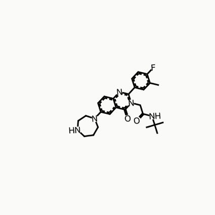 Cc1cc(-c2nc3ccc(N4CCCNCC4)cc3c(=O)n2CC(=O)NC(C)(C)C)ccc1F